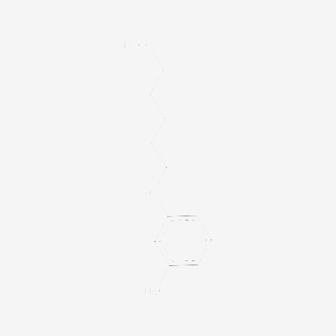 O=C(O)CCCCCOc1cccc(O)c1